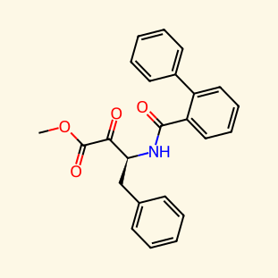 COC(=O)C(=O)[C@H](Cc1ccccc1)NC(=O)c1ccccc1-c1ccccc1